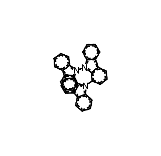 c1ccc2c(c1)c1ccccc1n2-c1cccc2c3ccccc3n(-n3c4ccccc4c4ccccc43)c12